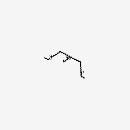 CCC/C=C\COC(=O)CCCCCCC/C=C\CCCCCCCCC(CCCCCCCC/C=C\CCCCCCCC(=O)OC/C=C\CCC)OC(=O)CCCN(C)C